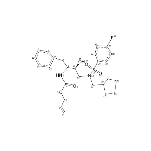 C=CCOC(=O)NC(Cc1ccccc1)[C@@H](O)CN(CC1CCCC1)S(=O)(=O)c1ccc(F)cc1